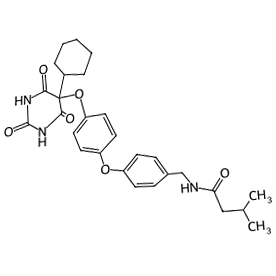 CC(C)CC(=O)NCc1ccc(Oc2ccc(OC3(C4CCCCC4)C(=O)NC(=O)NC3=O)cc2)cc1